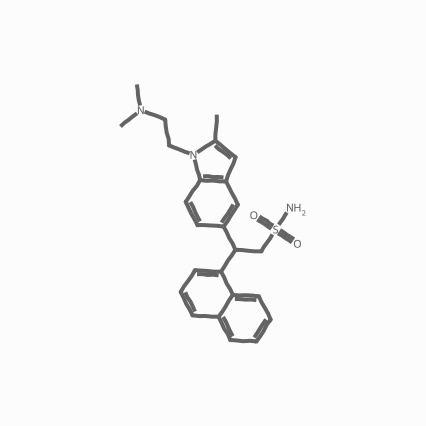 Cc1cc2cc(C(CS(N)(=O)=O)c3cccc4ccccc34)ccc2n1CCN(C)C